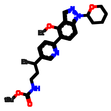 CCOc1c(-c2ccc(C(CC)CCNC(=O)OC(C)(C)C)cn2)ccc2c1cnn2C1CCCCO1